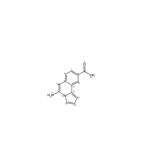 Nc1nc2ccc(C(=O)O)cc2c2cccn12